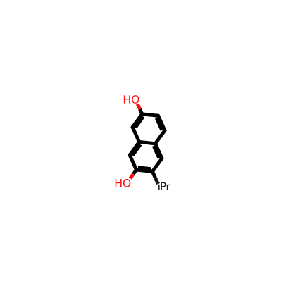 CC(C)c1cc2ccc(O)cc2cc1O